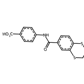 O=C(O)c1ccc(NC(=O)c2ccc3c(c2)SCCS3)cc1